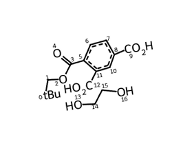 CC(C)(C)COC(=O)c1ccc(C(=O)O)cc1C(=O)O.OCCO